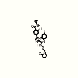 O=C(NC1CC1)c1ccc(-c2cnc3c(NCCCN4CCCC4=O)nc4ccc(F)cc4n23)cc1Cl